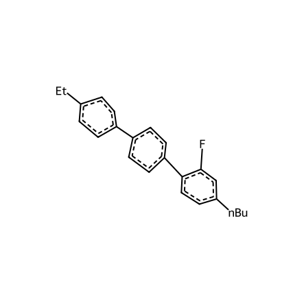 CCCCc1ccc(-c2ccc(-c3ccc(CC)cc3)cc2)c(F)c1